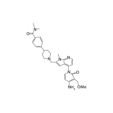 COCc1c(N)ccn(-c2ccnc3c2cc(CN2CCC(c4ccc(C(=O)N(C)C)cc4)CC2)n3C)c1=O